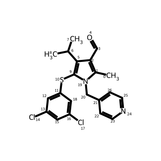 Cc1c(C=O)c(C(C)C)c(Sc2cc(Cl)cc(Cl)c2)n1Cc1ccncc1